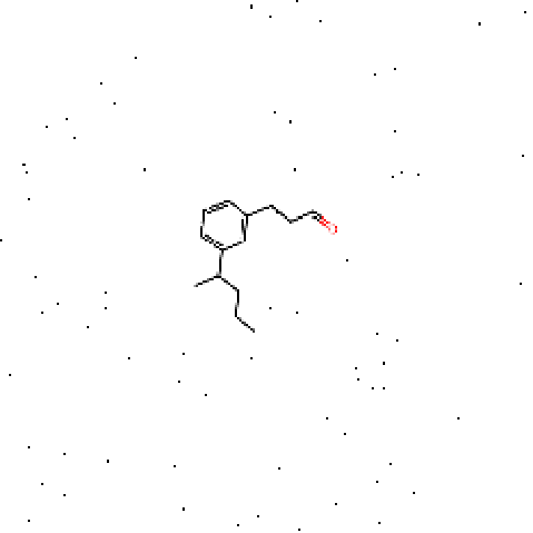 CCCC(C)c1cccc(CCC=O)c1